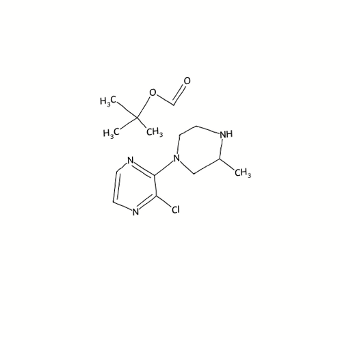 CC(C)(C)OC=O.CC1CN(c2nccnc2Cl)CCN1